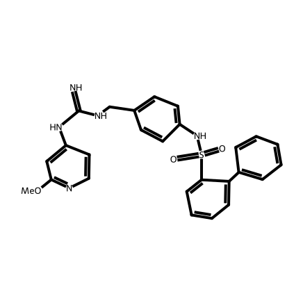 COc1cc(NC(=N)NCc2ccc(NS(=O)(=O)c3ccccc3-c3ccccc3)cc2)ccn1